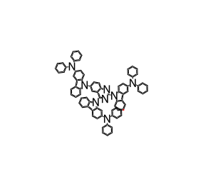 c1ccc(N(c2ccccc2)c2ccc3c(c2)c2ccccc2n3-c2ccc3nc(-n4c5ccccc5c5cc(N(c6ccccc6)c6ccccc6)ccc54)nc(-n4c5ccccc5c5ccc(N(c6ccccc6)c6ccccc6)cc54)c3c2)cc1